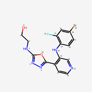 OCCNc1nnc(-c2ccncc2Nc2ccc(Br)cc2F)o1